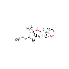 CCCCCCCCCCCCC(CC)CC(C)(C)OCCC(C)(C)O